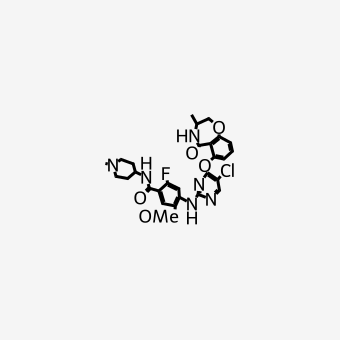 COc1cc(C(=O)NC2CCN(C)CC2)c(F)cc1Nc1ncc(Cl)c(Oc2cccc3c2C(=O)NC(C)CO3)n1